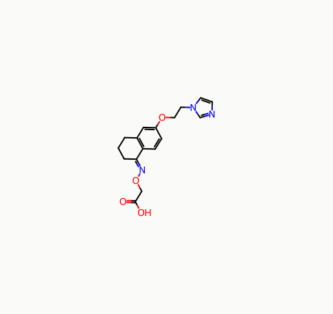 O=C(O)CON=C1CCCc2cc(OCCn3ccnc3)ccc21